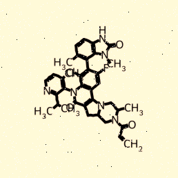 C=CC(=O)N1CC2Cc3c(c4cc(F)c(-c5c(C)ccc6[nH]c(=O)n(C)c56)c(Cl)c4n(-c4c(C)ccnc4C(C)C)c3=O)N2CC1C